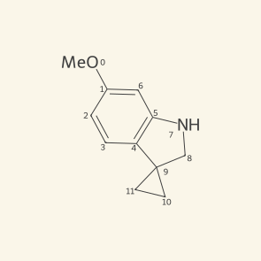 COc1ccc2c(c1)NCC21CC1